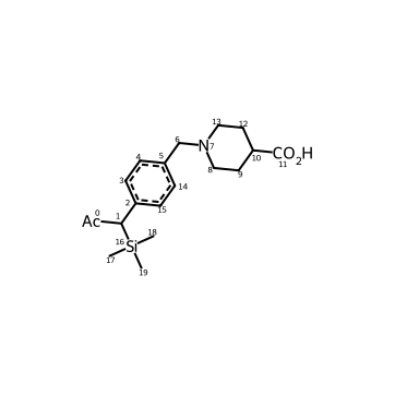 CC(=O)C(c1ccc(CN2CCC(C(=O)O)CC2)cc1)[Si](C)(C)C